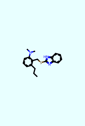 CCCc1cccc(N(C)C)c1CSc1nc2ccccc2[nH]1